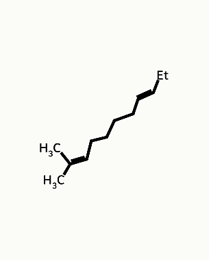 CCC=CCCCCC=C(C)C